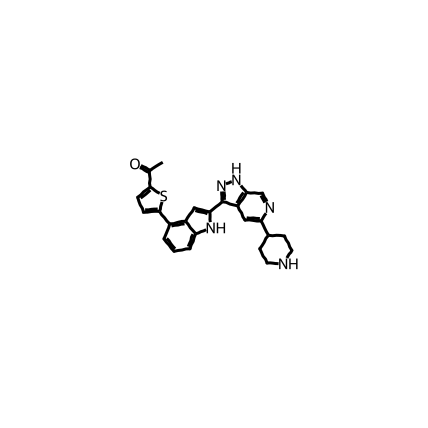 CC(=O)c1ccc(-c2cccc3[nH]c(-c4n[nH]c5cnc(C6CCNCC6)cc45)cc23)s1